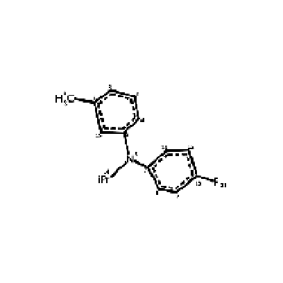 Cc1cccc(N(c2ccc(F)cc2)C(C)C)c1